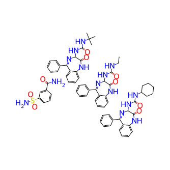 CC(C)(C)NC(=O)NC1N=C(c2ccccc2)c2ccccc2NC1=O.CCNC(=O)NC1N=C(c2ccccc2)c2ccccc2NC1=O.NC(=O)c1cccc(S(N)(=O)=O)c1.O=C(NC1CCCCC1)NC1N=C(c2ccccc2)c2ccccc2NC1=O